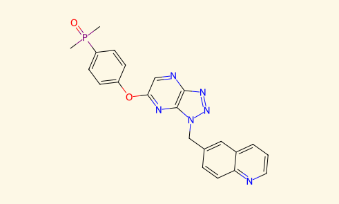 CP(C)(=O)c1ccc(Oc2cnc3nnn(Cc4ccc5ncccc5c4)c3n2)cc1